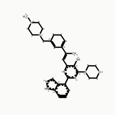 C/C(=C\c1nc(-c2cc#cc3[nH]ncc23)nc(N2CCOCC2)c1S)C1=CCCC(CN2CCN(C)CC2)=C1